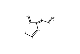 C=CC(/C=C\C)=C/C=N